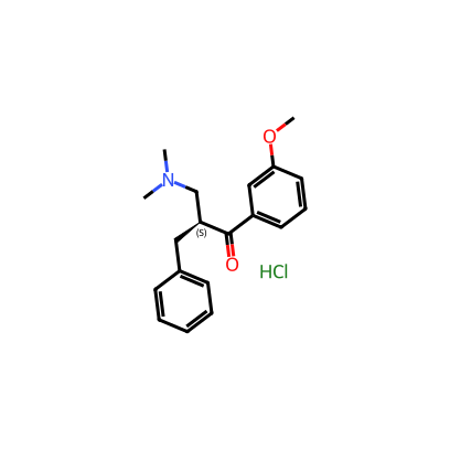 COc1cccc(C(=O)[C@@H](Cc2ccccc2)CN(C)C)c1.Cl